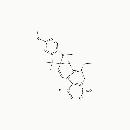 COc1ccc2c(c1)C(C)(C)C1(C=Cc3c(c(OC)cc([N+](=O)[O-])c3[N+](=O)[O-])O1)N2C